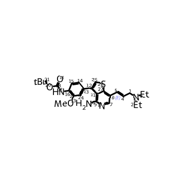 CCN(CC)C/C=C/c1cnc(N)c2c(-c3ccc(NC(=O)OC(C)(C)C)c(OC)c3)csc12